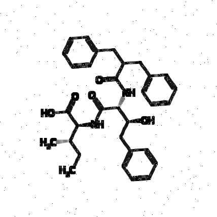 CC[C@H](C)[C@H](NC(=O)[C@H](NC(=O)C(Cc1ccccc1)Cc1ccccc1)[C@@H](O)Cc1ccccc1)C(=O)O